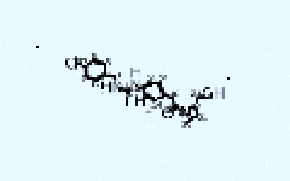 C=C(NCc1ccc(Cl)cc1)Nc1ccc(CC(=O)N2CC[C@@H]2CO)cc1